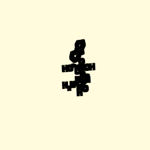 Nc1nc2c(ncn2[C@@H]2O[C@H](CO)C(Oc3cccc4c3Cc3ccccc3-4)C2O)c(=O)[nH]1